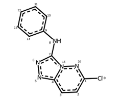 Clc1ccc2nnc(Nc3ccccc3)n2n1